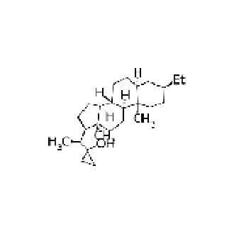 CC[C@H]1CC[C@@]2(C)[C@@H](CC[C@@H]3[C@@H]2CC[C@]2(C)[C@@H]([C@H](C)C4(O)CC4)CC[C@@H]32)C1